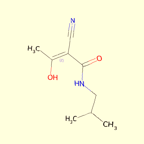 C/C(O)=C(\C#N)C(=O)NCC(C)C